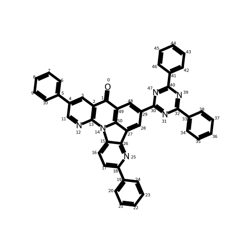 O=c1c2cc(-c3ccccc3)cnc2n2c3ccc(-c4ccccc4)nc3c3cc(-c4nc(-c5ccccc5)nc(-c5ccccc5)n4)cc1c32